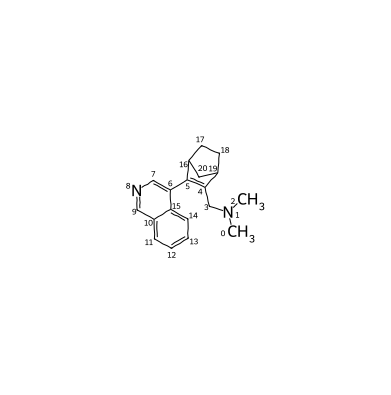 CN(C)CC1=C(c2cncc3ccccc23)C2CCC1C2